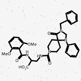 COc1cccc(OC)c1C(=O)NC(CNC(=O)N1CCC2(CC1)C(=O)N(Cc1ccccc1)CN2c1ccccc1)C(=O)O